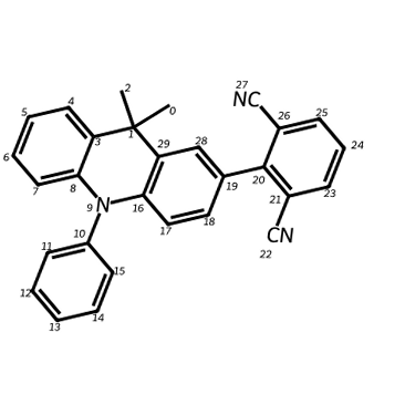 CC1(C)c2ccccc2N(c2ccccc2)c2ccc(-c3c(C#N)cccc3C#N)cc21